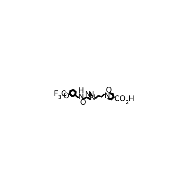 O=C(O)c1ccn(CCCCn2cc(C(=O)NCc3cccc(OC(F)(F)F)c3)nn2)c(=O)c1